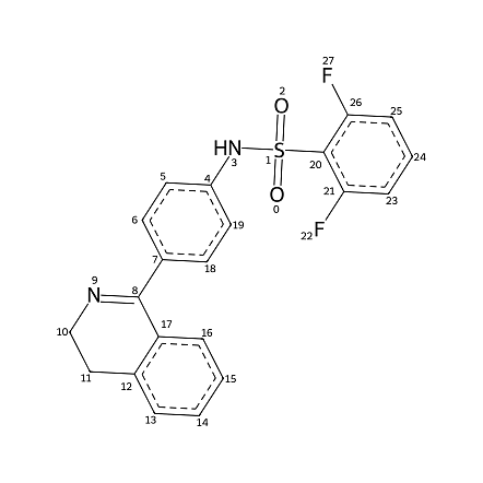 O=S(=O)(Nc1ccc(C2=NCCc3ccccc32)cc1)c1c(F)cccc1F